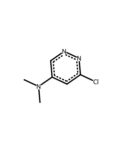 CN(C)c1cnnc(Cl)c1